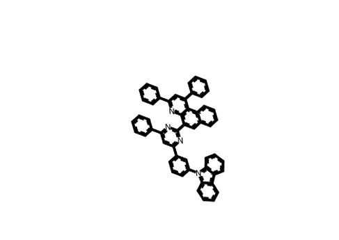 c1ccc(-c2cc(-c3cccc(-n4c5ccccc5c5ccccc54)c3)nc(-c3cc4ccccc4c4c(-c5ccccc5)cc(-c5ccccc5)nc34)n2)cc1